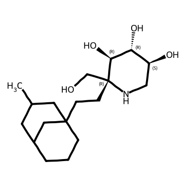 CC1CC2CCCC(CC[C@]3(CO)NC[C@H](O)[C@@H](O)[C@@H]3O)(C1)C2